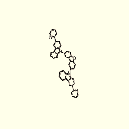 c1ccc(-c2ccc3c(c2)c2ccccc2n3-c2ccc3oc4ccc(-n5c6ccccc6c6cc(-c7ccccn7)ccc65)cc4c3c2)nc1